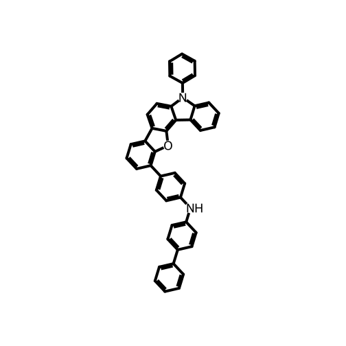 c1ccc(-c2ccc(Nc3ccc(-c4cccc5c4oc4c5ccc5c4c4ccccc4n5-c4ccccc4)cc3)cc2)cc1